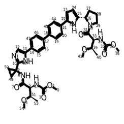 COC(=O)N[C@H](C(=O)NC1(c2ncc(-c3ccc(-c4ccc(-c5ccc([C@@H]6CCCN6C(=O)[C@@H](NC(=O)OC)[C@@H](C)OC)[nH]5)cc4)cc3)[nH]2)CC1)[C@@H](C)OC